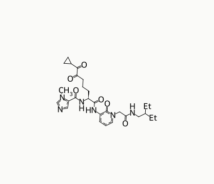 CCC(CC)CNC(=O)Cn1cccc(NC(=O)[C@H](CCCC(=O)C(=O)C2CC2)NC(=O)c2cncn2C)c1=O